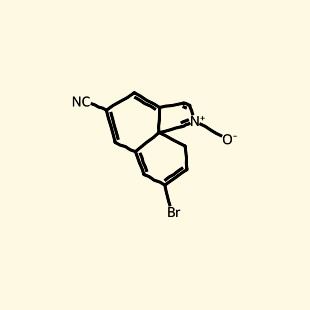 N#CC1=CC2=CC(Br)=CCC23C=[N+]([O-])C=CC3=C1